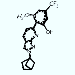 Cc1cc(C(F)(F)F)cc(O)c1-c1ccc2cn(C34CCC(C3)C4)nc2n1